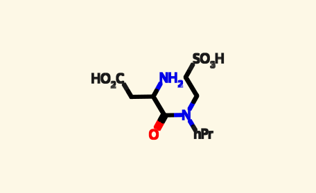 CCCN(CCS(=O)(=O)O)C(=O)C(N)CC(=O)O